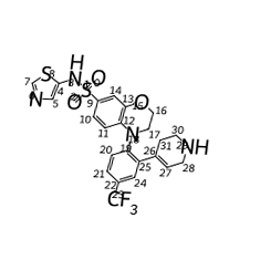 O=S(=O)(Nc1cncs1)c1ccc2c(c1)OCCN2c1ccc(C(F)(F)F)cc1C1=CCNCC1